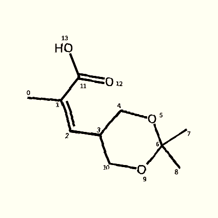 CC(=CC1COC(C)(C)OC1)C(=O)O